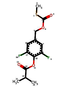 CSC(=O)OCc1cc(F)c(OC(=O)C(C)C)c(F)c1